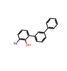 [2H]c1cccc(-c2cccc(-c3ccccc3)c2)c1O